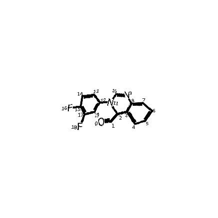 O=CC1c2ccccc2N=CN1c1ccc(F)c(F)c1